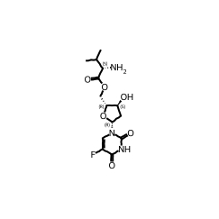 CC(C)[C@H](N)C(=O)OC[C@H]1O[C@@H](n2cc(F)c(=O)[nH]c2=O)C[C@@H]1O